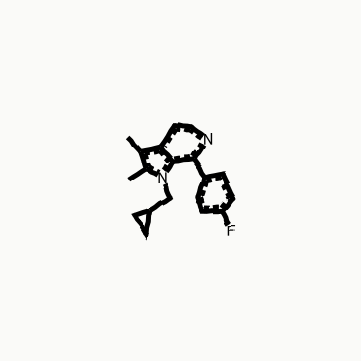 Cc1c(C)n(CC2CC2)c2c(-c3ccc(F)cc3)nccc12